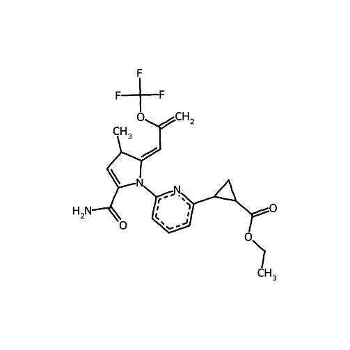 C=C(/C=C1\C(C)C=C(C(N)=O)N1c1cccc(C2CC2C(=O)OCC)n1)OC(F)(F)F